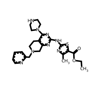 CCOC(=O)c1sc(Nc2nc3c(c(N4CCNCC4)n2)CCN(Cc2ccccn2)C3)nc1C